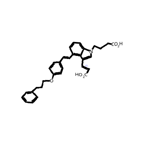 O=C(O)/C=C/c1cn(CCCC(=O)O)c2cccc(C=Cc3ccc(OCCCc4ccccc4)cc3)c12